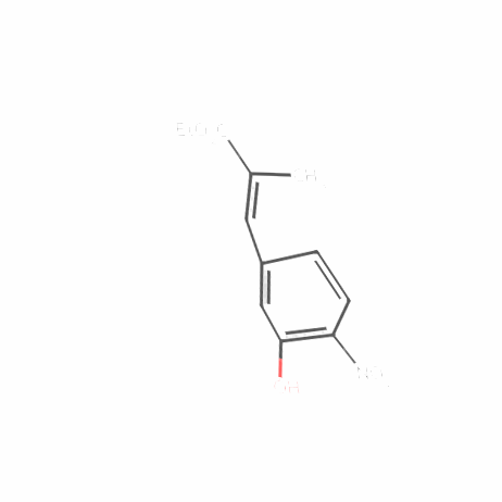 CCOC(=O)C(C)=Cc1ccc([N+](=O)[O-])c(O)c1